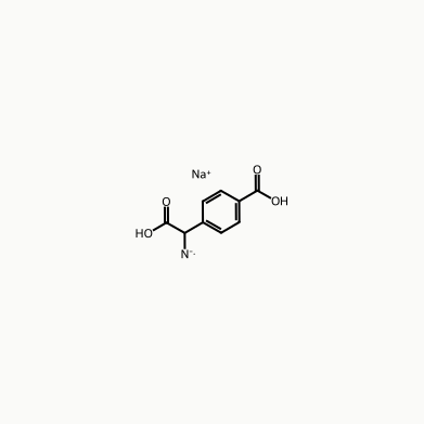 [N-]C(C(=O)O)c1ccc(C(=O)O)cc1.[Na+]